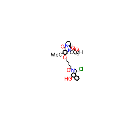 COc1cc2c(cc1OCCCCCC(=O)N1C[C@@H](CCl)c3c1cc(O)c1ccccc31)N(C(=O)O)C(OC1CCCCO1)[C@@H]1CCCCN1C2=O